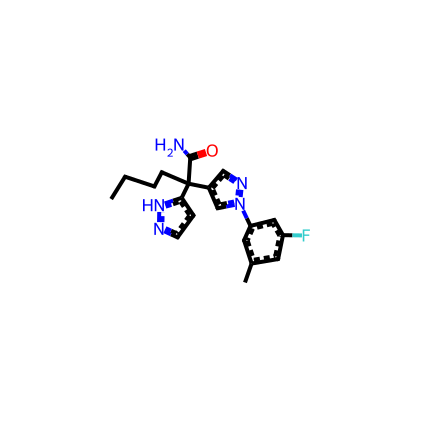 CCCCC(C(N)=O)(c1cnn(-c2cc(C)cc(F)c2)c1)c1ccn[nH]1